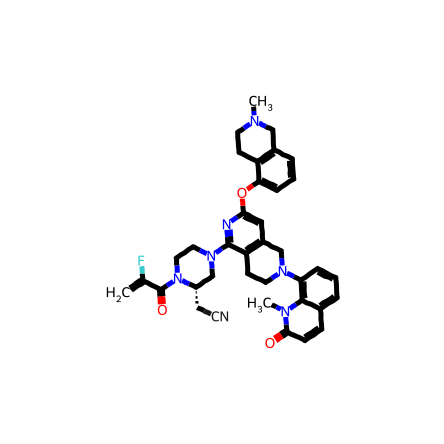 C=C(F)C(=O)N1CCN(c2nc(Oc3cccc4c3CCN(C)C4)cc3c2CCN(c2cccc4ccc(=O)n(C)c24)C3)C[C@@H]1CC#N